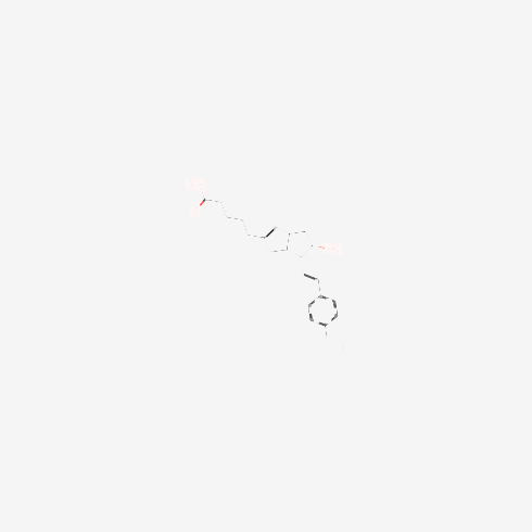 Cc1ccc(/C=C/[C@@H]2[C@H]3CC(CCCCC(=O)O)=C[C@H]3C[C@H]2O)cc1